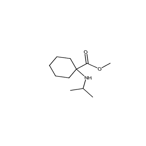 COC(=O)C1(NC(C)C)CCCCC1